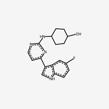 OC1CCC(Nc2nccc(-c3c[nH]c4ccc(F)cc34)n2)CC1